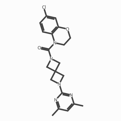 Cc1cc(C)nc(N2CC3(CN(C(=O)N4CCOc5cc(Cl)ccc54)C3)C2)n1